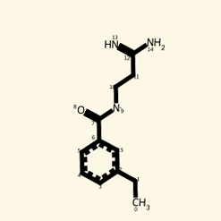 CCc1cccc(C(=O)[N]CCC(=N)N)c1